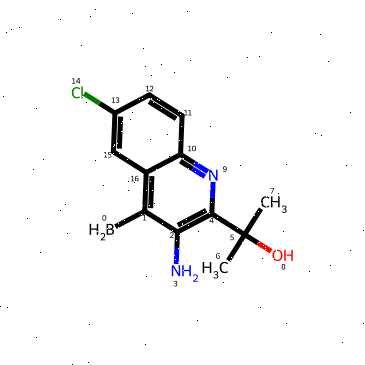 Bc1c(N)c(C(C)(C)O)nc2ccc(Cl)cc12